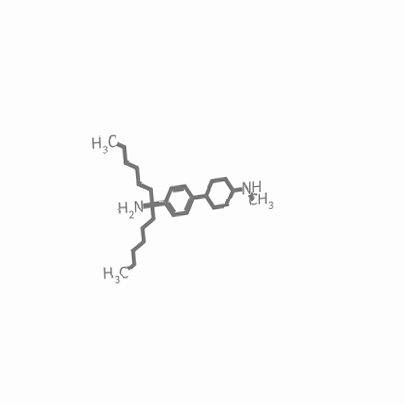 CCCCCCC(N)(CCCCCC)c1ccc(C2CCC(NC)CC2)cc1